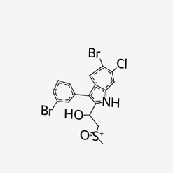 C[S+]([O-])CC(O)c1[nH]c2cc(Cl)c(Br)cc2c1-c1cccc(Br)c1